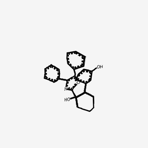 Oc1cccc(C2CCCCC2(O)c2nc(-c3ccccc3)c(-c3ccccc3)o2)c1